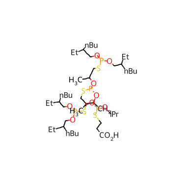 CCCCC(CC)COP(OCC(CC)CCCC)SCC(C)OP(OC(C)CSP(OCC(CC)CCCC)OCC(CC)CCCC)SCC(C)OP(OC(C)C)SCCC(=O)O